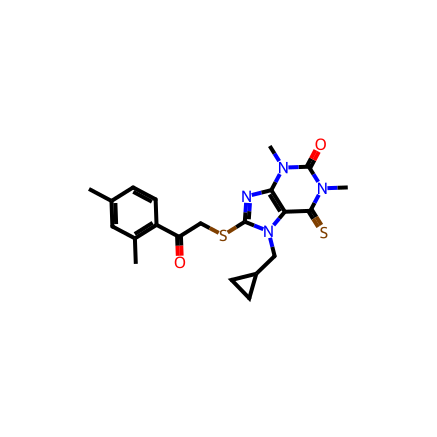 Cc1ccc(C(=O)CSc2nc3c(c(=S)n(C)c(=O)n3C)n2CC2CC2)c(C)c1